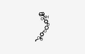 C=CCOC(=O)c1ccc(COC2CCC(Oc3ccc(C(=O)NC4C5CC6CC(C5)CC4C6)cc3)CC2)cc1